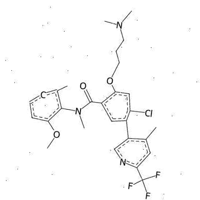 COc1cccc(C)c1N(C)C(=O)c1cc(-c2cnc(C(F)(F)F)cc2C)c(Cl)cc1OCCCN(C)C